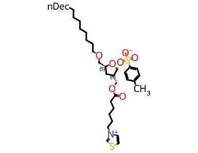 CCCCCCCCCCCCCCCCCCOC[C@@H]1C[C@@H](COC(=O)CCCCC[n+]2ccsc2)CO1.Cc1ccc(S(=O)(=O)[O-])cc1